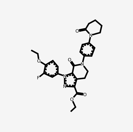 CCOC(=O)c1nn(-c2ccc(OCC)c(F)c2)c2c1CCN(c1ccc(N3CCCCC3=O)cc1)C2=O